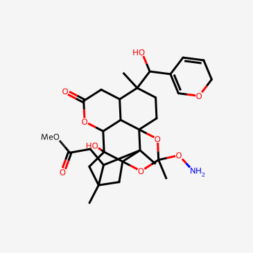 COC(=O)CC1C2(C)CC3(O)C4OC(=O)CC5C4C4(CCC5(C)C(O)C5=COCC=C5)OC(C)(ON)OC3(C2)C14C